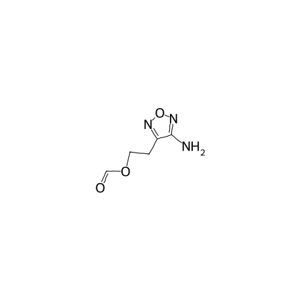 Nc1nonc1CCOC=O